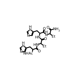 CCC(NC(=O)C(Cc1cnc[nH]1)NC(=O)C(CC)NC(=O)C(Cc1cnc[nH]1)NC(C)=O)C(N)=O